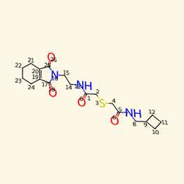 O=C(CSCC(=O)NCC1CCC1)NCCN1C(=O)C2=C(CCCC2)C1=O